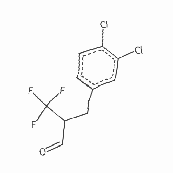 O=CC(Cc1ccc(Cl)c(Cl)c1)C(F)(F)F